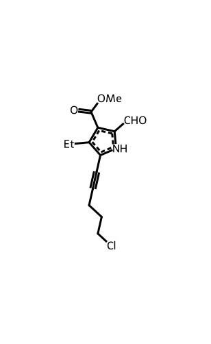 CCc1c(C#CCCCCl)[nH]c(C=O)c1C(=O)OC